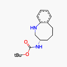 CC(C)(C)OC(=O)N[C@H]1CCCc2ccccc2NC1